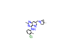 Cc1nc(Nc2cccc(Cl)c2C)c2ncc(CN3CC[C@]4(C)CC34)cc2n1